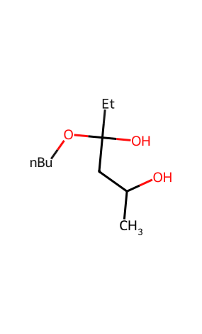 CCCCOC(O)(CC)CC(C)O